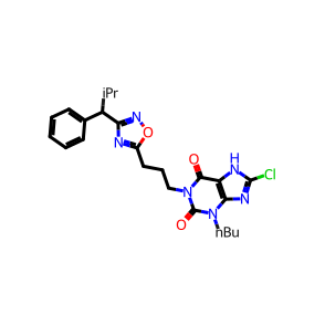 CCCCn1c(=O)n(CCCc2nc(C(c3ccccc3)C(C)C)no2)c(=O)c2[nH]c(Cl)nc21